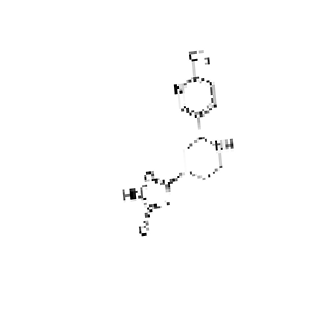 O=c1cc([C@@H]2CCN[C@@H](c3ccc(C(F)(F)F)nc3)C2)o[nH]1